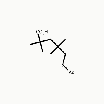 CC(=O)SCC(C)(C)CC(C)(C)C(=O)O